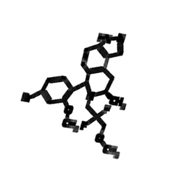 COCC(F)(F)CN1C(c2ccc(Br)cc2OC)c2ccc3[nH]ncc3c2C[C@H]1C